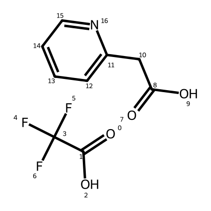 O=C(O)C(F)(F)F.O=C(O)Cc1ccccn1